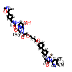 Cc1ncoc1-c1ccc([C@H](C)NC(=O)[C@@H]2C[C@@H](O)CN2C(=O)[C@@H](NC(=O)COCCCCOc2ccc(-c3ccc(N4C(=S)N(c5cnc(C#N)c(C(F)(F)F)c5)C(=O)C4(C)C)cc3)cc2)C(C)(C)C)cc1